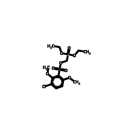 CCOP(=O)(COS(=O)(=O)c1c(OC)ccc(Cl)c1OC)OCC